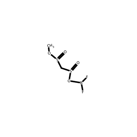 COS(=O)CS(=O)OB(F)F